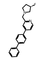 F[C@@H]1CCN(Cc2cc(-c3ccc(-c4ccccc4)cc3)ccn2)C1